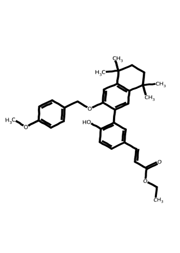 CCOC(=O)/C=C/c1ccc(O)c(-c2cc3c(cc2OCc2ccc(OC)cc2)C(C)(C)CCC3(C)C)c1